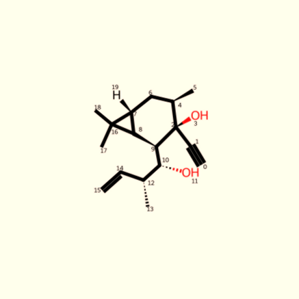 C#C[C@@]1(O)[C@H](C)C[C@@H]2C([C@@H]1[C@H](O)[C@H](C)C=C)C2(C)C